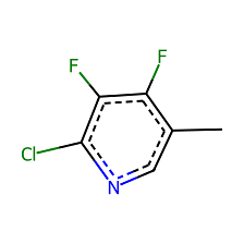 Cc1cnc(Cl)c(F)c1F